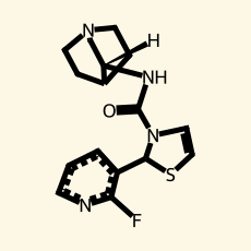 O=C(N[C@H]1CN2CCC1CC2)N1C=CSC1c1cccnc1F